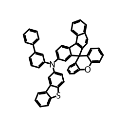 c1ccc(-c2cccc(N(c3ccc4c(c3)C3(c5ccccc5Oc5ccccc53)c3ccc5ccccc5c3-4)c3ccc4sc5ccccc5c4c3)c2)cc1